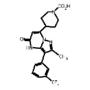 Cc1nn2c(C3CCN(C(=O)O)CC3)cc(=O)[nH]c2c1-c1cccc(C(F)(F)F)c1